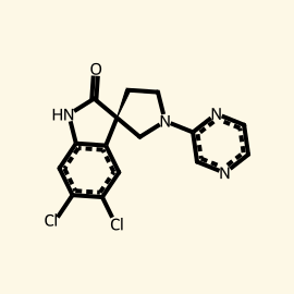 O=C1Nc2cc(Cl)c(Cl)cc2[C@]12CCN(c1cnccn1)C2